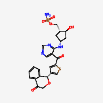 NS(=O)(=O)OC[C@H]1C[C@@H](Nc2ncncc2C(=O)c2cc([C@@H]3OCC(=O)c4ccccc43)cs2)C[C@@H]1O